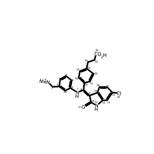 CNCc1cccc(N/C(=C2\C(=O)Nc3cc(Cl)ccc32)c2ccc(CCC(=O)O)cc2)c1